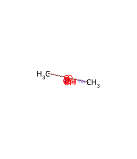 CCCCC/C=C/C/C=C/CCCCCCCCOC(COCCCCCCCCCCCCCCCCCC)COP(=O)(O)O